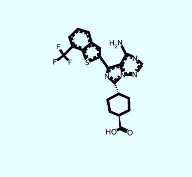 Nc1ncnn2c1c(-c1cc3cccc(C(F)(F)F)c3s1)nc2[C@H]1CC[C@H](C(=O)O)CC1